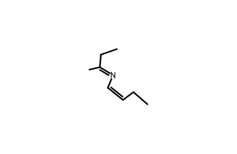 CC/C=C\N=C(/C)CC